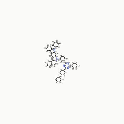 c1ccc(-c2ccc(-c3nc(-c4ccccc4)nc(-c4cccc(-n5c6cc7c(cc6c6c8ccccc8ccc65)c5cccc6c8ccccc8n7c65)c4)n3)cc2)cc1